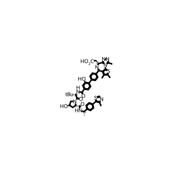 Cc1ncsc1-c1ccc([C@H](C)NC(=O)[C@@H]2C[C@@H](O)CN2C(=O)[C@@H](NC(=O)c2ccc(-c3ccc(C4=N[C@@H](CC(=O)O)c5nnc(C)n5-c5sc(C)c(C)c54)cc3)c(O)c2)C(C)(C)C)cc1